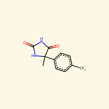 CC1(c2ccc(C(F)(F)F)cc2)NC(=O)NC1=O